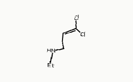 CCNCC=C(Cl)Cl